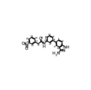 Nc1n[nH]c2ccc(-c3ccnc(NC(=O)Cc4cccc([N+](=O)[O-])c4)c3)cc12